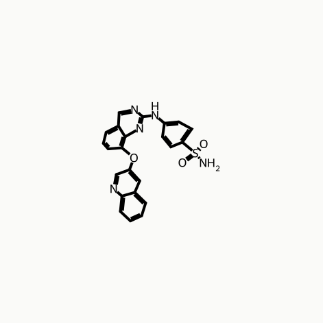 NS(=O)(=O)c1ccc(Nc2ncc3cccc(Oc4cnc5ccccc5c4)c3n2)cc1